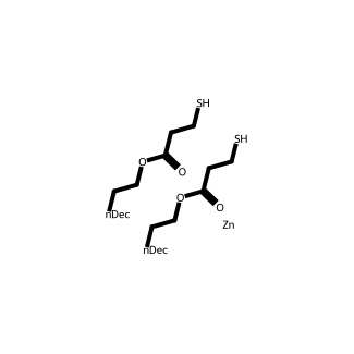 CCCCCCCCCCCCOC(=O)CCS.CCCCCCCCCCCCOC(=O)CCS.[Zn]